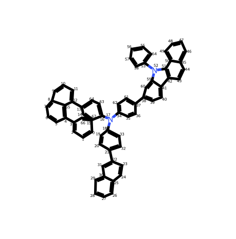 c1ccc(-c2cccc3cccc(-c4ccc(N(c5ccc(-c6ccc7ccccc7c6)cc5)c5ccc(-c6ccc7c8ccc9ccccc9c8n(-c8ccccc8)c7c6)cc5)cc4)c23)cc1